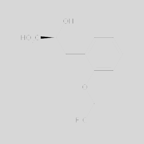 O=C(O)[C@@H](O)Cc1ccccc1OCC(F)(F)F